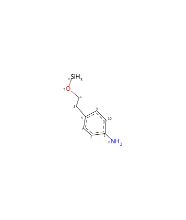 Nc1ccc(CCO[SiH3])cc1